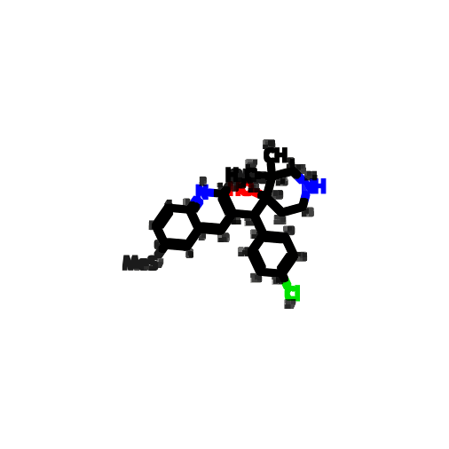 COc1nc2ccc(SC)cc2cc1C(c1ccc(Cl)cc1)C1(O)CCNCC1(C)C